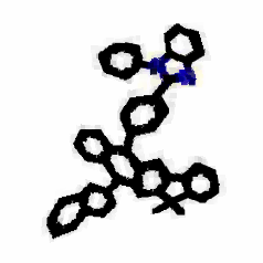 CC1(C)c2ccccc2-c2cc3c(-c4ccc(C5=NC6C=CC=CC6N5c5ccccc5)cc4)c4ccccc4c(-c4ccc5ccccc5c4)c3cc21